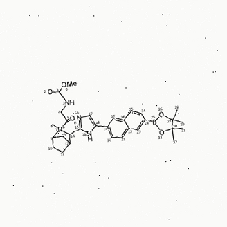 COC(=O)NCC(=O)[N+]1(C)C2CCC(C2)C1c1ncc(-c2ccc3cc(B4OC(C)(C)C(C)(C)O4)ccc3c2)[nH]1